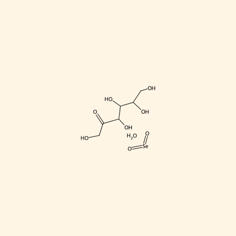 O.O=C(CO)C(O)C(O)C(O)CO.O=[Se]=O